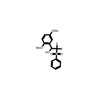 COc1ccc(OC)c(C(O)C(F)(F)S(=O)(=O)c2ccccc2)c1